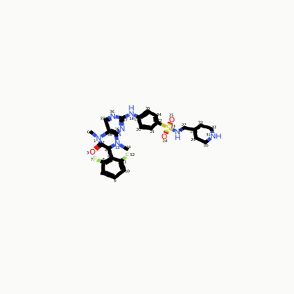 CN1C(=O)C(c2c(F)cccc2F)N(C)c2nc(Nc3ccc(S(=O)(=O)NCC4CCNCC4)cc3)ncc21